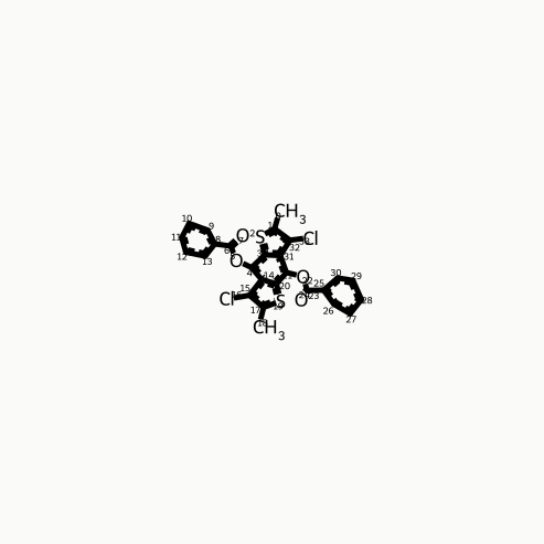 Cc1sc2c(OC(=O)c3ccccc3)c3c(Cl)c(C)sc3c(OC(=O)c3ccccc3)c2c1Cl